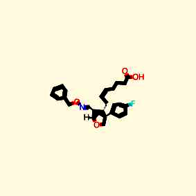 O=C(O)CCC/C=C\C[C@H]1[C@H](C=NOCc2ccccc2)[C@@H]2C[C@@]1(c1ccc(F)cc1)CO2